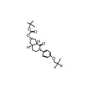 CC(C)(C)OC(=O)ON1C[C@H]2CCN(c3ccc(OCC(F)(F)F)cc3)C(=O)[C@H]2C1